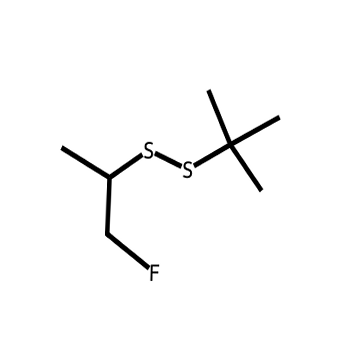 CC(CF)SSC(C)(C)C